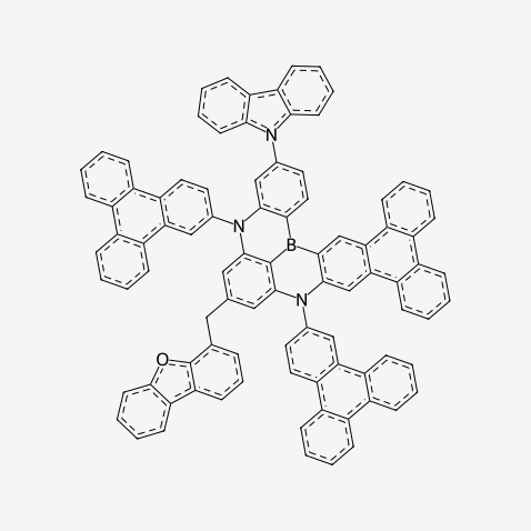 c1ccc2c(c1)oc1c(Cc3cc4c5c(c3)N(c3ccc6c7ccccc7c7ccccc7c6c3)c3cc6c7ccccc7c7ccccc7c6cc3B5c3ccc(-n5c6ccccc6c6ccccc65)cc3N4c3ccc4c5ccccc5c5ccccc5c4c3)cccc12